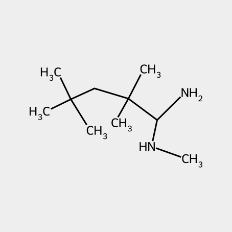 CNC(N)C(C)(C)CC(C)(C)C